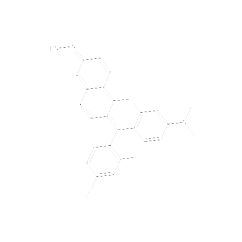 CN(C)c1ccc2c(-c3ccc(C(=O)O)cc3C(=O)O)c3ccc4c/c(=N\N)ccc4c3oc2c1